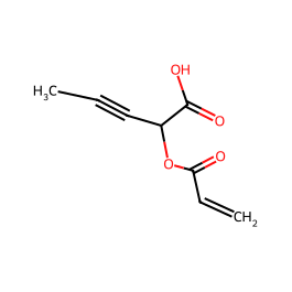 C=CC(=O)OC(C#CC)C(=O)O